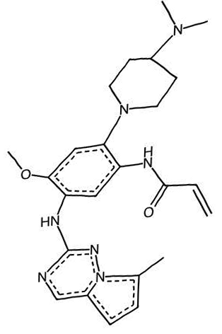 C=CC(=O)Nc1cc(Nc2ncc3ccc(C)n3n2)c(OC)cc1N1CCC(N(C)C)CC1